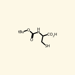 CC(C)(C)OC(=O)NC(CS)C(=O)O